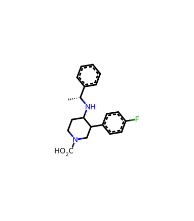 C[C@@H](NC1CCN(C(=O)O)CC1c1ccc(F)cc1)c1ccccc1